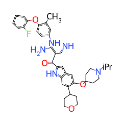 Cc1cc(N/C(N)=C(\C=N)C(=O)c2cc3cc(OC4CCN(C(C)C)CC4)c(C4CCOCC4)cc3[nH]2)ccc1Oc1ccccc1F